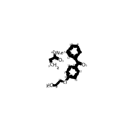 C=CC(=O)OC.O=C(c1ccccc1)c1ccc(OCCO)cc1